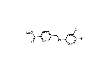 COC(=O)c1ccc(CNc2ccc(F)c(Cl)c2)cn1